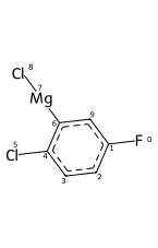 Fc1ccc(Cl)[c]([Mg][Cl])c1